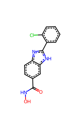 O=C(NO)c1ccc2nc(-c3ccccc3Cl)[nH]c2c1